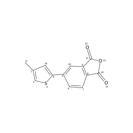 Cc1csc(-c2ccc3c(c2)C(=O)OC3=O)c1